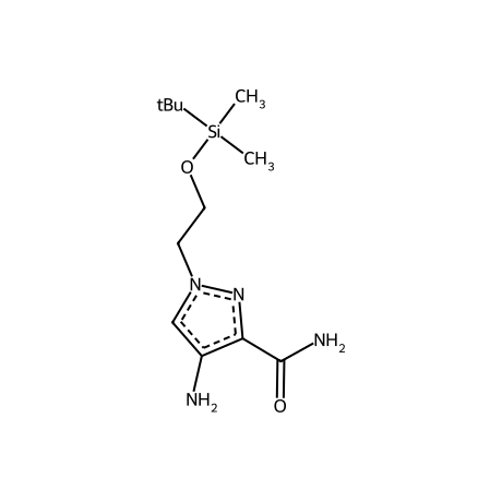 CC(C)(C)[Si](C)(C)OCCn1cc(N)c(C(N)=O)n1